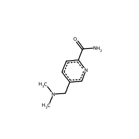 CN(C)Cc1ccc(C(N)=O)nc1